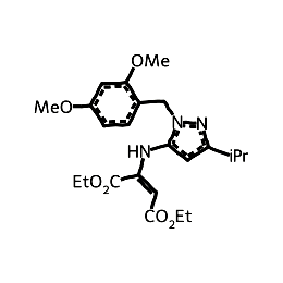 CCOC(=O)C=C(Nc1cc(C(C)C)nn1Cc1ccc(OC)cc1OC)C(=O)OCC